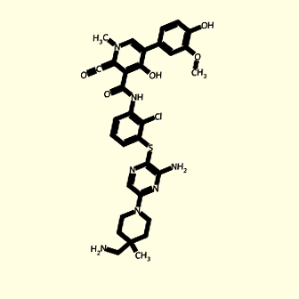 COc1cc(C2=CN(C)C(=C=O)C(C(=O)Nc3cccc(Sc4ncc(N5CCC(C)(CN)CC5)nc4N)c3Cl)=C2O)ccc1O